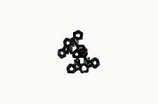 c1ccc(-n2c3c(c4ccccc42)CCc2c-3n(-c3cccc(-n4c5ccccc5c5ccc6c7ccccc7n(-c7ccccc7)c6c54)c3)c3ccccc23)cc1